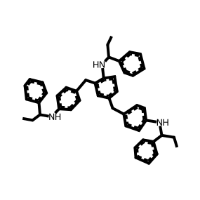 CCC(Nc1ccc(Cc2ccc(NC(CC)c3ccccc3)c(Cc3ccc(NC(CC)c4ccccc4)cc3)c2)cc1)c1ccccc1